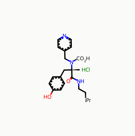 CC(C)CCNC(=O)[C@](C)(Cc1ccc(O)cc1)N(Cc1ccncc1)C(=O)O.Cl